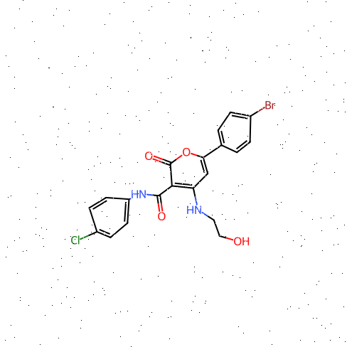 O=C(Nc1ccc(Cl)cc1)c1c(NCCO)cc(-c2ccc(Br)cc2)oc1=O